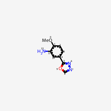 COc1ccc(-c2nnco2)cc1N